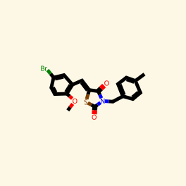 COc1ccc(Br)cc1/C=C1\SC(=O)N(Cc2ccc(C)cc2)C1=O